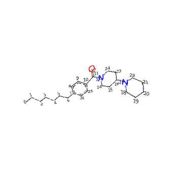 CCCCCCCc1ccc(C(=O)N2CCC(N3CCCCC3)CC2)cc1